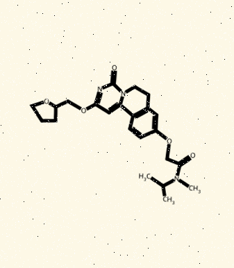 CC(C)N(C)C(=O)COc1ccc2c(c1)CCn1c-2cc(OCC2CCCO2)nc1=O